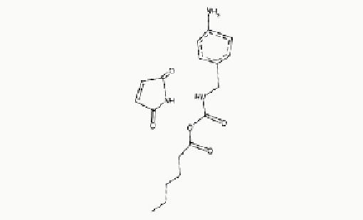 CCCCCC(=O)OC(=O)NCc1ccc(N)cc1.O=C1C=CC(=O)N1